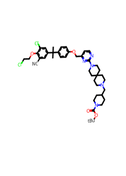 CC(C)(C)OC(=O)N1CCC(CN2CCC3(CC2)CCN(c2nccc(COc4ccc(C(C)(C)c5cc(Cl)c(OCCCl)c(C#N)c5)cc4)n2)CC3)CC1